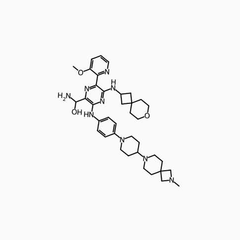 COc1cccnc1-c1nc(C(N)O)c(Nc2ccc(N3CCC(N4CCC5(CC4)CN(C)C5)CC3)cc2)nc1NC1CC2(CCOCC2)C1